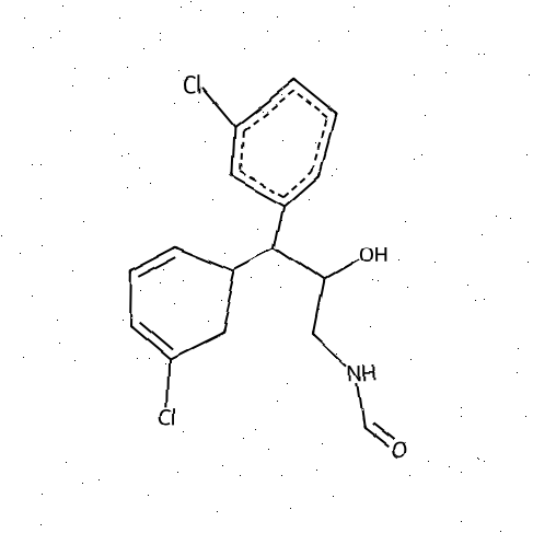 O=CNCC(O)C(c1cccc(Cl)c1)C1C=CC=C(Cl)C1